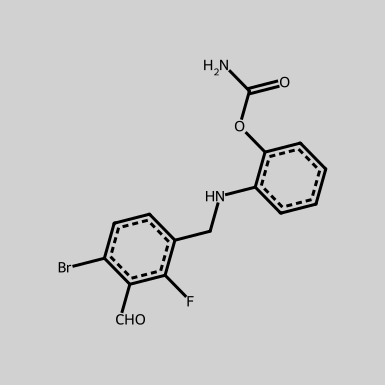 NC(=O)Oc1ccccc1NCc1ccc(Br)c(C=O)c1F